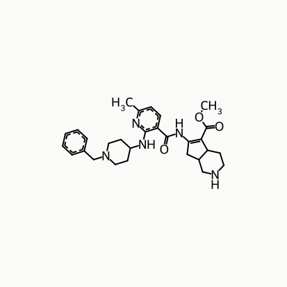 COC(=O)C1=C(NC(=O)c2ccc(C)nc2NC2CCN(Cc3ccccc3)CC2)CC2CNCCC12